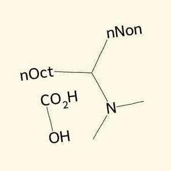 CCCCCCCCCC(CCCCCCCC)N(C)C.O=C(O)O